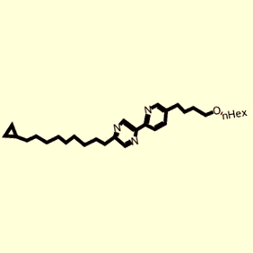 CCCCCCOCCCCc1ccc(-c2cnc(CCCCCCCCCC3CC3)cn2)nc1